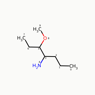 CCCC(N)C(CC)OC